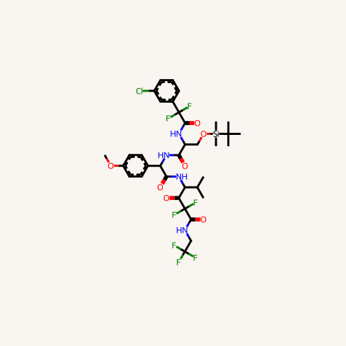 COc1ccc(C(NC(=O)C(CO[Si](C)(C)C(C)(C)C)NC(=O)C(F)(F)c2cccc(Cl)c2)C(=O)NC(C(=O)C(F)(F)C(=O)NCC(F)(F)F)C(C)C)cc1